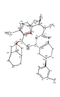 CC[C@H](C1CCC(C(=O)O)CC1)N(C)c1nc2c(c(N[C@@H](CN3C4CCCC3CCC4)c3cnn(C)c3)n1)C[C@H](c1cccc(F)c1)CC2